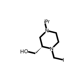 CC(C)N1CCN(CI)[C@H](CO)C1